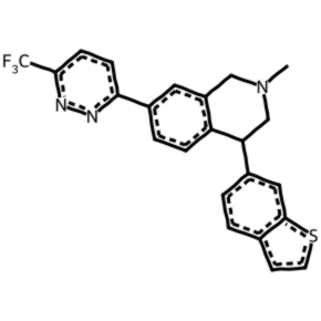 CN1Cc2cc(-c3ccc(C(F)(F)F)nn3)ccc2C(c2ccc3ccsc3c2)C1